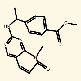 COC(=O)c1ccc(C(C)Nc2ncc3ccc(=O)n(C)c3n2)cc1